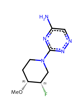 CO[C@@H]1CCN(c2nncc(N)n2)C[C@@H]1F